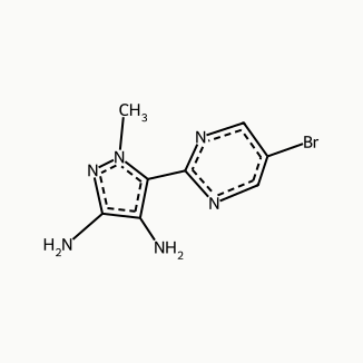 Cn1nc(N)c(N)c1-c1ncc(Br)cn1